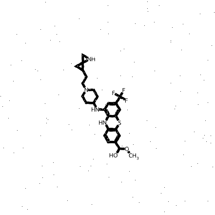 COC(O)c1ccc2c(c1)Sc1cc(C(F)(F)F)cc(NC3CCN(CCC4CC45CN5)CC3)c1N2